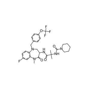 CN1C(=O)C(NC(=O)C(C)(C)NC(=O)N2CCCCC2)CN(Cc2ccc(OC(F)(F)F)cc2)c2ccc(F)cc21